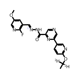 [2H]C([2H])(C)Oc1ccc(-c2cncc(C(=O)N/N=C/c3cc(OC)cnc3F)n2)cn1